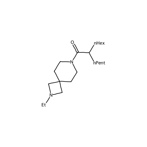 CCCCCCC(CCCCC)C(=O)N1CCC2(CC1)CN(CC)C2